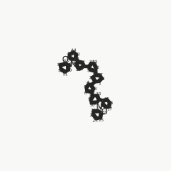 c1cc(-c2cccc(-c3ccc4c(c3)c3cccc5c3n4-c3ccccc3O5)c2)cc(-c2cccc(-c3ccc4c(c3)c3cccc5c3n4-c3ccccc3O5)c2)c1